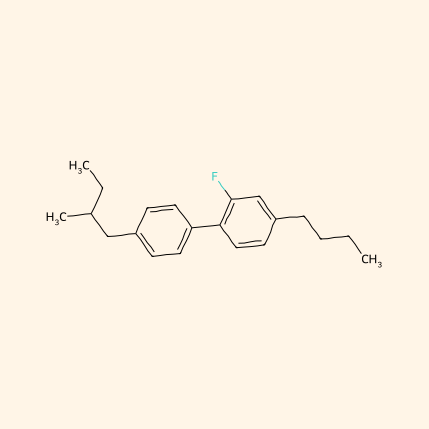 CCCCc1ccc(-c2ccc(CC(C)CC)cc2)c(F)c1